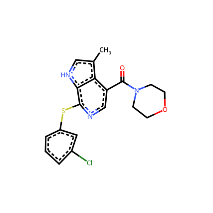 Cc1c[nH]c2c(Sc3cccc(Cl)c3)ncc(C(=O)N3CCOCC3)c12